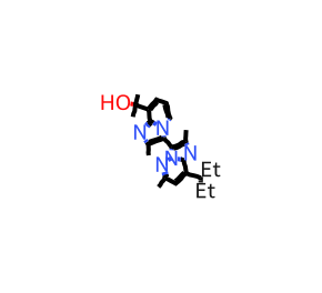 CCC(CC)c1cc(C)nn2c(-c3c(C)nc4c(C(C)(C)O)cccn34)c(C)nc12